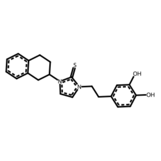 Oc1ccc(CCn2ccn(C3CCc4ccccc4C3)c2=S)cc1O